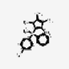 CC1=C(C)C(C)C([Si](C)(c2ccccc2)c2ccc(C)cc2)=C1C